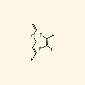 C=COCC=CF.FC(F)=C(F)F